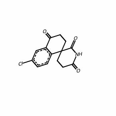 O=C1CCC2(CCC(=O)c3cc(Cl)ccc32)C(=O)N1